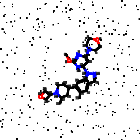 COc1nc(N2CCOCC2)cc(-n2ncc3cc(C)c(C4CCN(C5COC5)C(C)C4)cc32)n1